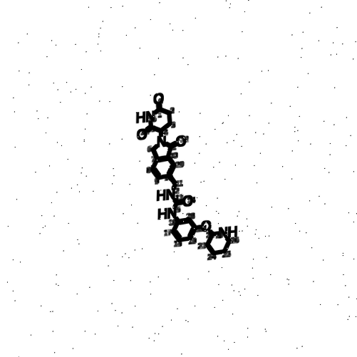 O=C1CCC(N2Cc3ccc(CNC(=O)Nc4cccc(OC5CCCCN5)c4)cc3C2=O)C(=O)N1